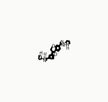 c1cc2c(cc1-c1cnc([C@@H]3CCCN3)[nH]1)OCCc1c-2oc2ccc(-c3cnc([C@@H]4CCCN4)[nH]3)cc12